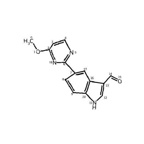 COc1ccnc(-c2ccc3[nH]cc(C=O)c3c2)n1